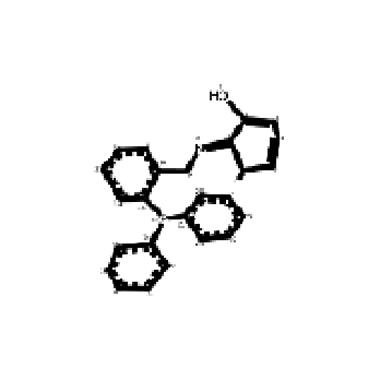 CC1C=CC=C(O)C1=NCc1ccccc1P(c1ccccc1)c1ccccc1